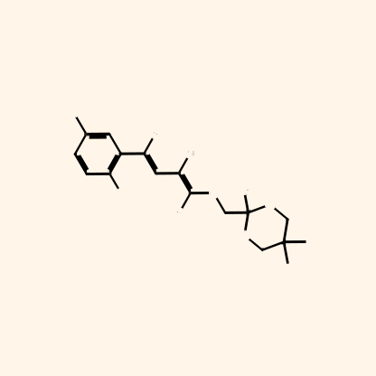 CC1(C)COC(O)(CO/C(N)=C(N)/C=C(\N)c2cc(Cl)ccc2F)OC1